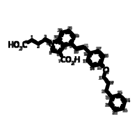 O=C(O)CCCn1cc(C(=O)O)c2c(/C=C/c3ccc(OCCCc4ccccc4)cc3)cccc21